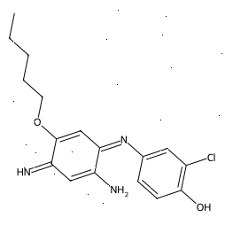 CCCCCOC1=C/C(=N/c2ccc(O)c(Cl)c2)C(N)=CC1=N